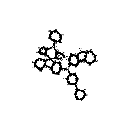 c1ccc(-c2ccc(N(c3ccc4c(c3)C3(c5ccccc5-4)c4ccccc4N(c4ccccc4)c4ccccc43)c3ccc4sc5ccccc5c4c3)cc2)cc1